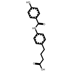 O=C(O)CCCc1ccc(NC(=O)c2ccc(O)cc2)cc1